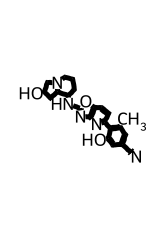 Cc1cc(C#N)cc(O)c1-c1ccc2oc(NC3CCCN4C[C@@H](O)CC34)nc2n1